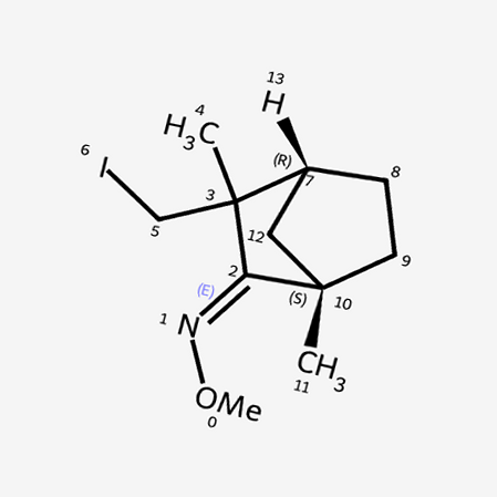 CO/N=C1/C(C)(CI)[C@@H]2CC[C@@]1(C)C2